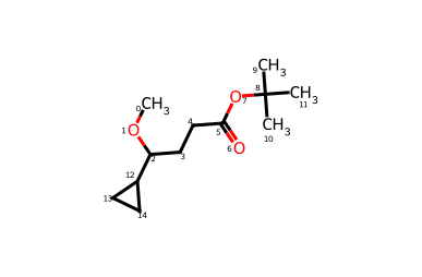 COC(CCC(=O)OC(C)(C)C)C1CC1